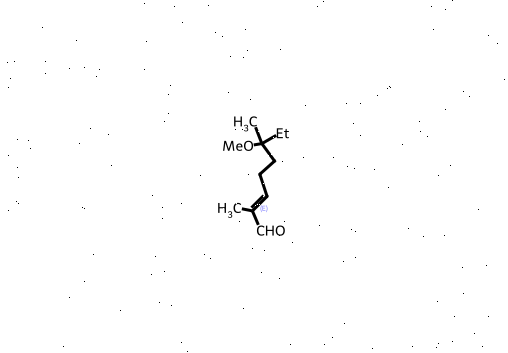 CCC(C)(CC/C=C(\C)C=O)OC